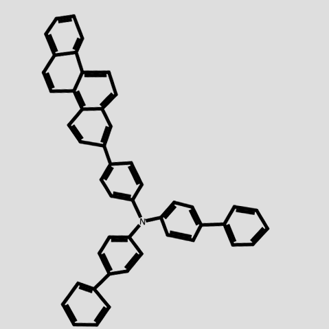 c1ccc(-c2ccc(N(c3ccc(-c4ccccc4)cc3)c3ccc(-c4ccc5c(ccc6c7ccccc7ccc56)c4)cc3)cc2)cc1